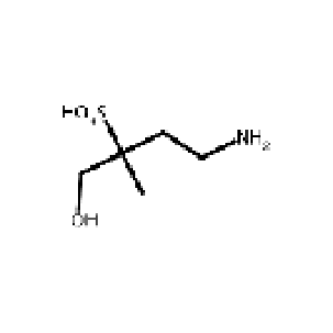 CC(CO)(CCN)S(=O)(=O)O